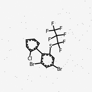 FC(F)(F)C(F)(F)C(F)(F)Sc1cc(Br)[c]c(Br)c1-c1ccccc1Cl